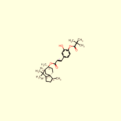 C[C@H]1CC[C@H]2C(C)(C)[C@@H]3C[C@@]12CC[C@]3(C)OC(=O)/C=C/c1ccc(OC(=O)C(C)(C)C)c(O)c1